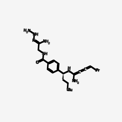 CC(C)C=C=C=C(N)N[C@H](CCC(C)(C)C)c1ccc(C(=O)NC/C(N)=N/NN)cc1